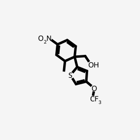 CC1C=C([N+](=O)[O-])C=CC1(CO)c1cc(OC(F)(F)F)cs1